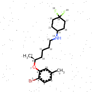 Cc1ccc(Br)c(O[C@@H](C)CCCCNC2CCC(F)(F)CC2)c1